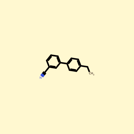 CCc1c[c]c(-c2cccc(C#N)c2)cc1